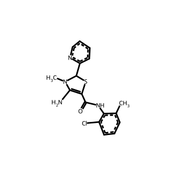 Cc1cccc(Cl)c1NC(=O)C1=C(N)N(C)C(c2ccccn2)S1